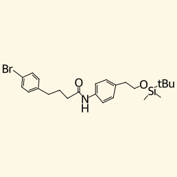 CC(C)(C)[Si](C)(C)OCCc1ccc(NC(=O)CCCc2ccc(Br)cc2)cc1